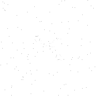 CO[C@@H]1CC(OCc2ccccc2)[C@H](O)[C@@H](COCc2ccccc2)O1